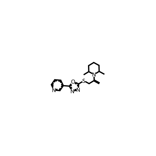 C=C(CSc1nnc(-c2cccnc2)o1)N1C(C)CCCC1C